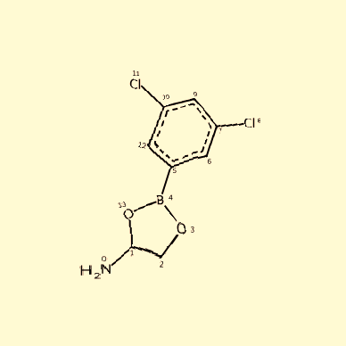 NC1COB(c2cc(Cl)cc(Cl)c2)O1